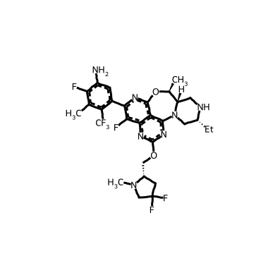 CC[C@@H]1CN2c3nc(OC[C@@H]4CC(F)(F)CN4C)nc4c(F)c(-c5cc(N)c(F)c(C)c5C(F)(F)F)nc(c34)O[C@@H](C)[C@@H]2CN1